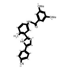 COc1cc(OC)cc(C(=O)Nc2ccc(C)c(-c3ncc(-c4ccc(C#N)cc4)[nH]3)c2)c1